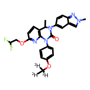 [2H]C([2H])([2H])Oc1ccc(N2C(=O)N(c3ccc4nn(C)cc4c3)C(C)c3ccc(OCC(F)F)nc32)cc1